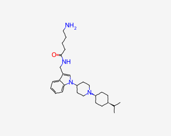 CC(C)[C@H]1CC[C@@H](N2CCC(n3cc(CNC(=O)CCCCN)c4ccccc43)CC2)CC1